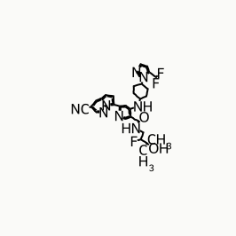 CC(C)(O)C(F)CNC(=O)c1cnc(-c2ccc3cc(C#N)cnn23)cc1NC1CCC(n2nccc2C(F)F)CC1